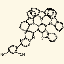 N#Cc1ccc(-c2ccc3nc(-c4c(-n5c6ccccc6c6ccccc65)c(-n5c6ccccc6c6ccccc65)c(-n5c6ccccc6c6ccccc65)c5c4sc4ccccc45)ccc3n2)c(C#N)c1